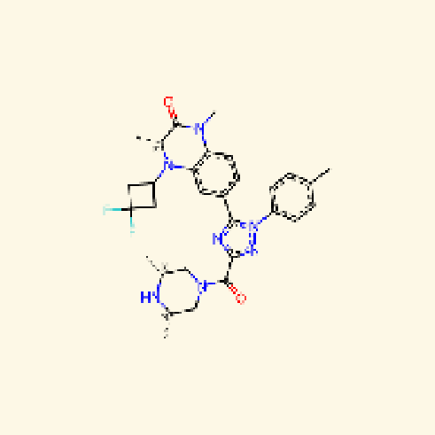 Cc1ccc(-n2nc(C(=O)N3C[C@@H](C)N[C@@H](C)C3)nc2-c2ccc3c(c2)N(C2CC(F)(F)C2)[C@H](C)C(=O)N3C)cc1